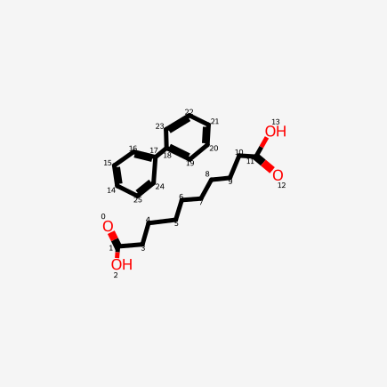 O=C(O)CCCCCCCCC(=O)O.c1ccc(-c2ccccc2)cc1